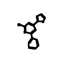 Clc1cc(-c2cccs2)cc(-c2ccccc2)n1